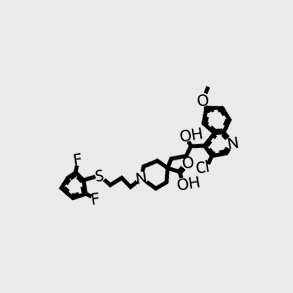 COc1ccc2ncc(Cl)c(C(O)CCC3(C(=O)O)CCN(CCCSc4c(F)cccc4F)CC3)c2c1